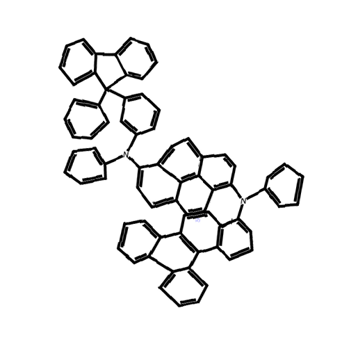 IC/C=C\c1c(-c2cccc(N(c3ccccc3)c3ccc4ccc5c(N(c6ccccc6)c6cccc(C7(c8ccccc8)c8ccccc8-c8ccccc87)c6)ccc6ccc3c4c65)c2)c2ccccc2c2ccccc12